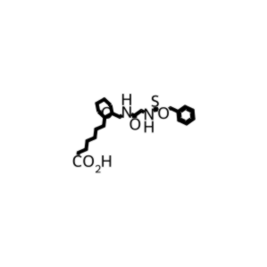 O=C(O)CCCCCCC1C2CCC(O2)C1CNC(=O)CNC(=S)OCc1ccccc1